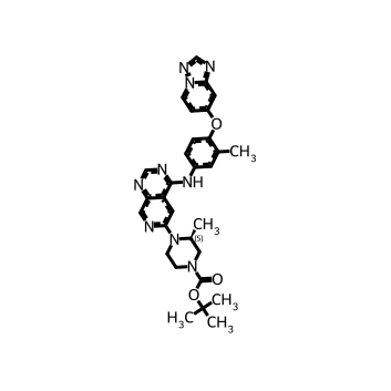 Cc1cc(Nc2ncnc3cnc(N4CCN(C(=O)OC(C)(C)C)C[C@@H]4C)cc23)ccc1Oc1ccn2ncnc2c1